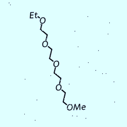 [CH]COCCOCCOCCOCCOC